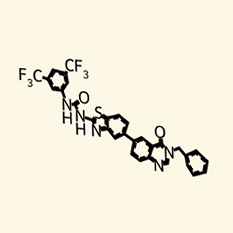 O=C(Nc1cc(C(F)(F)F)cc(C(F)(F)F)c1)Nc1nc2cc(-c3ccc4ncn(Cc5ccccc5)c(=O)c4c3)ccc2s1